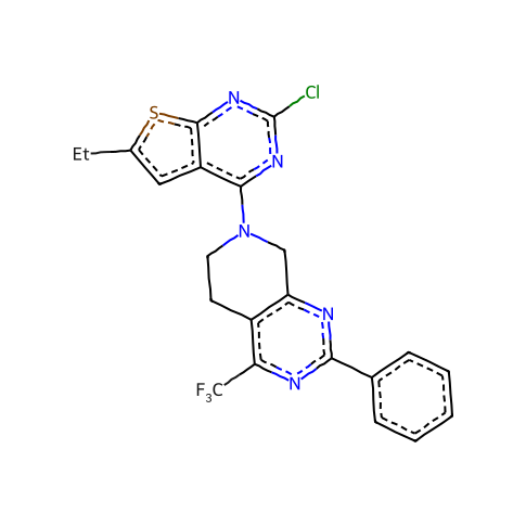 CCc1cc2c(N3CCc4c(nc(-c5ccccc5)nc4C(F)(F)F)C3)nc(Cl)nc2s1